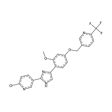 COc1cc(OCc2ccc(C(F)(F)F)nc2)ccc1-c1c[nH]c(-c2ccc(Cl)nc2)n1